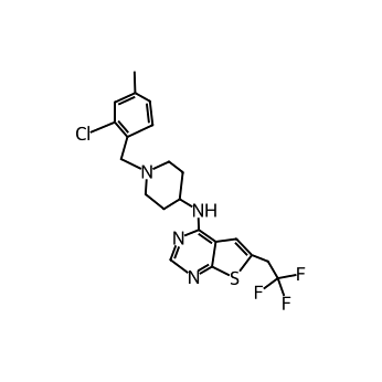 Cc1ccc(CN2CCC(Nc3ncnc4sc(CC(F)(F)F)cc34)CC2)c(Cl)c1